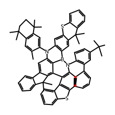 Cc1cc2c(cc1N1c3cc4c(cc3B3c5c1cc1c(c5-c5c(ccc6sc7ccccc7c56)N3c3ccc(C(C)(C)C)cc3-c3ccccc3)C(C)(C)c3ccccc3-1)C(C)(C)c1ccccc1S4)C(C)(C)CCC2(C)C